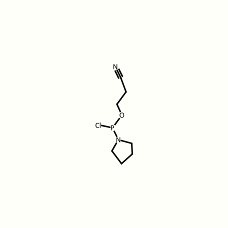 N#CCCOP(Cl)N1CCCC1